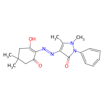 Cc1c(N=NC2=C(O)CC(C)(C)CC2=O)c(=O)n(-c2ccccc2)n1C